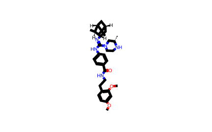 COc1ccc(CCNC(=O)c2ccc(N/C(=N/[C@H]3C[C@H]4C[C@@H]([C@@H]3C)C4(C)C)N3CCN[C@@H](C)C3)cc2)c(OC)c1